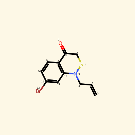 C=CCN1SCC(=O)c2ccc(Br)cc21